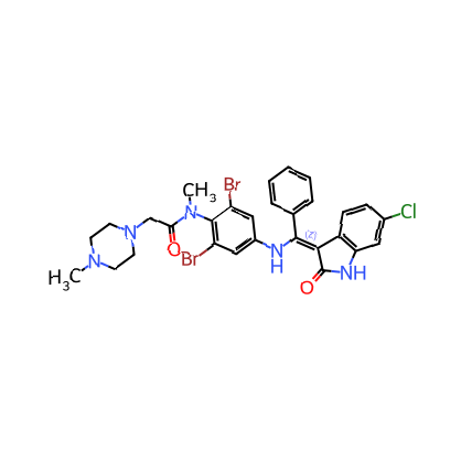 CN1CCN(CC(=O)N(C)c2c(Br)cc(N/C(=C3\C(=O)Nc4cc(Cl)ccc43)c3ccccc3)cc2Br)CC1